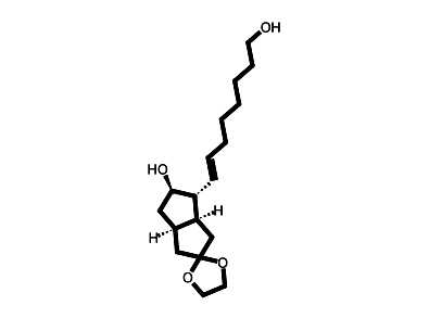 OCCCCCC/C=C/[C@@H]1[C@H]2CC3(C[C@H]2C[C@H]1O)OCCO3